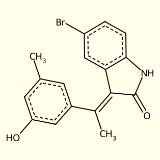 C/C(=C1\C(=O)Nc2ccc(Br)cc21)c1cc(C)cc(O)c1